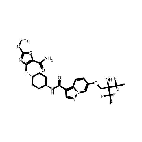 COc1nc(O[C@H]2CC[C@H](NC(=O)c3cnn4cc(OCC(O)(C(F)(F)F)C(F)(F)F)ccc34)CC2)c(C(N)=O)s1